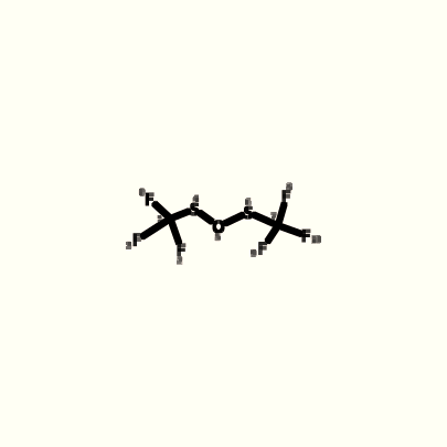 FC(F)(F)SOSC(F)(F)F